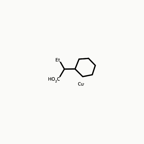 CCC(C(=O)O)C1CCCCC1.[Cu]